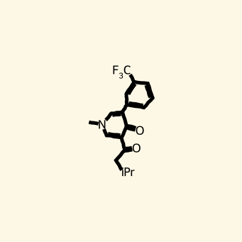 CC(C)CC(=O)c1cn(C)cc(-c2cccc(C(F)(F)F)c2)c1=O